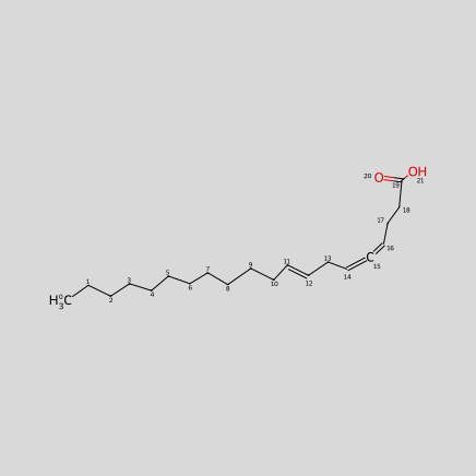 CCCCCCCCCCCC=CCC=C=CCCC(=O)O